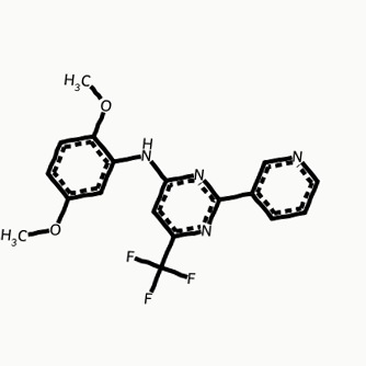 COc1ccc(OC)c(Nc2cc(C(F)(F)F)nc(-c3cccnc3)n2)c1